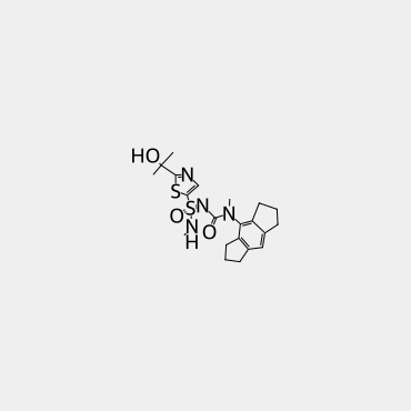 CNS(=O)(=NC(=O)N(C)c1c2c(cc3c1CCC3)CCC2)c1cnc(C(C)(C)O)s1